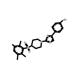 CCCc1ccc(-c2csc(N3CCC(S(=O)(=O)c4c(C)c(C)cc(C)c4C)CC3)n2)cc1